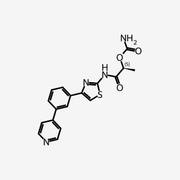 C[C@H](OC(N)=O)C(=O)Nc1nc(-c2cccc(-c3ccncc3)c2)cs1